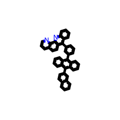 c1cc(-c2c3ccccc3c(-c3ccc4ccccc4c3)c3ccccc23)cc(-c2c3ccccc3nc3c2ccc2cccnc23)c1